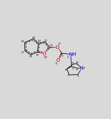 O=C(NC1CN2CCC1CC2)Oc1cc2ccccc2o1